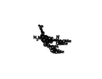 COC(=O)CC(NCCCN(C)[S@+]([O-])c1cc(S(=O)(=O)N(C)CCCNC(CC(=O)OC)C(=O)OC)c2ccc3c(OCCCN(C)C)cc(N)c4ccc1c2c43)C(=O)OC